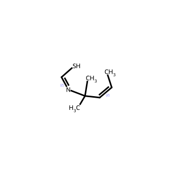 C/C=C\C(C)(C)/N=C\S